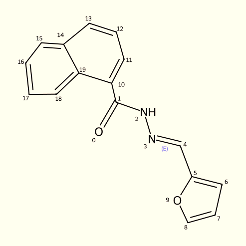 O=C(N/N=C/c1ccco1)c1cccc2ccccc12